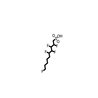 O=S(=O)(O)CC(F)C(F)C(F)C(F)CCCCCF